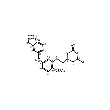 C=C1CC(C)CC(CCc2cc(Sc3cccc(CC(=O)O)c3)ccc2OC)C1